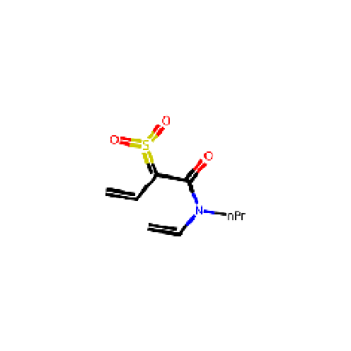 C=CC(C(=O)N(C=C)CCC)=S(=O)=O